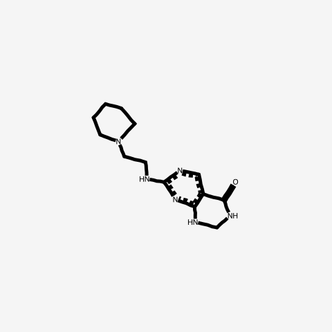 O=C1NCNc2nc(NCCN3CCCCC3)ncc21